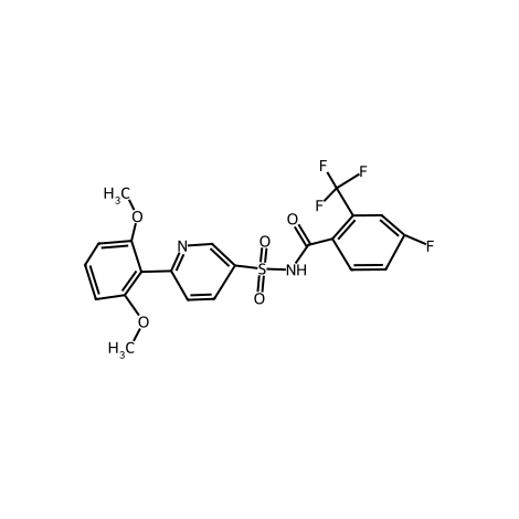 COc1cccc(OC)c1-c1ccc(S(=O)(=O)NC(=O)c2ccc(F)cc2C(F)(F)F)cn1